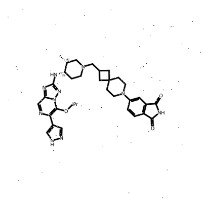 CC(C)Oc1c(-c2cn[nH]c2)ncc2nc(N[C@H]3CCN(CC4CC5(CCN(c6ccc7c(c6)C(=O)NC7=O)CC5)C4)C[C@H]3C)nn12